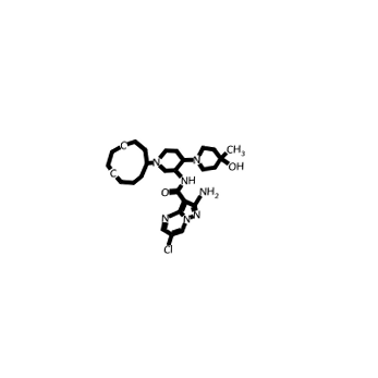 CC1(O)CCN(C2CCN(C3CCCCCCCCC3)CC2NC(=O)c2c(N)nn3cc(Cl)cnc23)CC1